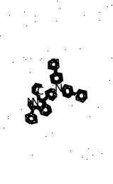 c1ccc(-c2ccc(N(c3ccc(-c4ccccc4)cc3)c3ccc(-c4c(-c5ccccc5)n5ncc(-c6ccccc6)c5c5ccccc45)cc3)cc2)cc1